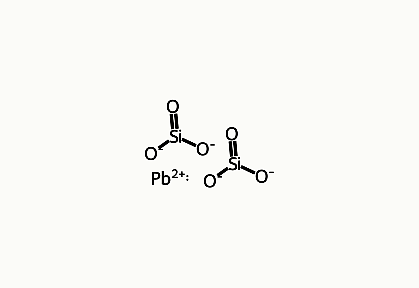 O=[Si]([O-])[O-].O=[Si]([O-])[O-].[Pb+2]